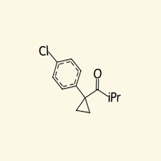 CC(C)C(=O)C1(c2ccc(Cl)cc2)CC1